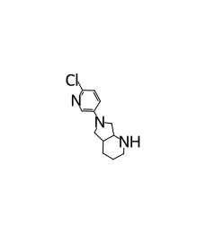 Clc1ccc(N2CC3CCCNC3C2)cn1